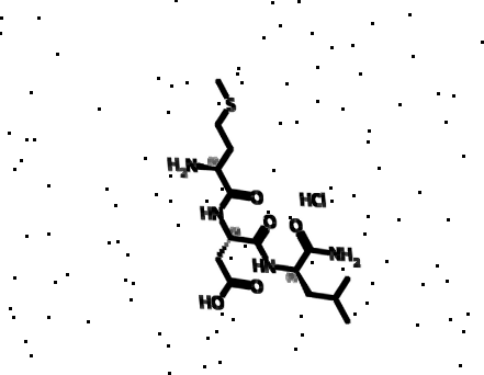 CSCC[C@H](N)C(=O)N[C@@H](CC(=O)O)C(=O)N[C@H](CC(C)C)C(N)=O.Cl